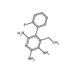 CCc1c(N)c(N)nc(N)c1-c1ccccc1F